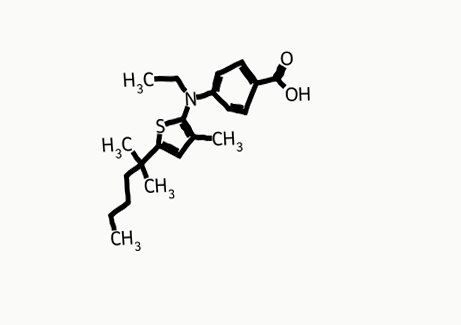 CCCCC(C)(C)c1cc(C)c(N(CC)c2ccc(C(=O)O)cc2)s1